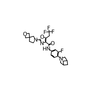 O=C(Nc1ccc(N2CC3CC(C3)C2)c(F)c1)c1nc(N2CCC3(COC3)C2)oc1CC(F)(F)F